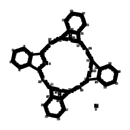 [Ni].c1ccc2c(c1)-c1nc-2nc2[nH]c(nc3nc(nc4[nH]c(n1)c1ccccc41)-c1ccccc1-3)c1ccccc21